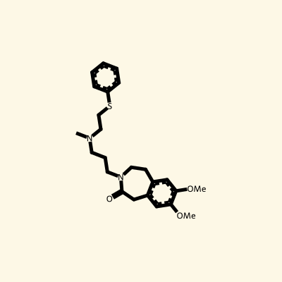 COc1cc2c(cc1OC)CC(=O)N(CCCN(C)CCSc1ccccc1)CC2